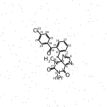 CCCN1C(=O)C2=NC=NC2(Cc2ccccc2C(=O)c2ccc(Cl)cc2)N(C)C1=O